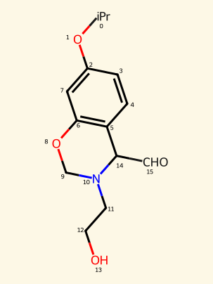 CC(C)Oc1ccc2c(c1)OCN(CCO)C2C=O